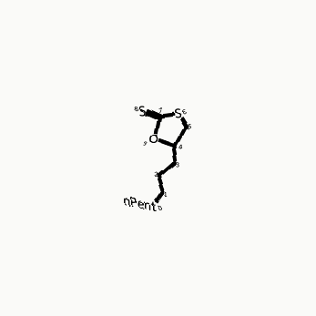 CCCCCCCCC1CSC(=S)O1